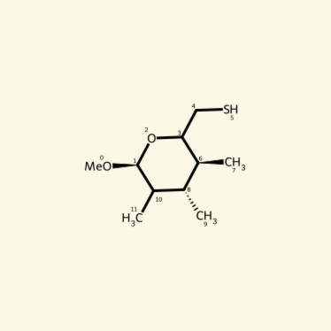 CO[C@H]1OC(CS)[C@@H](C)[C@H](C)C1C